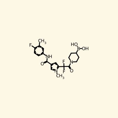 Cc1cc(NC(=O)c2cc(C(F)(F)C(=O)N3CCC(B(O)O)CC3)n(C)c2)ccc1F